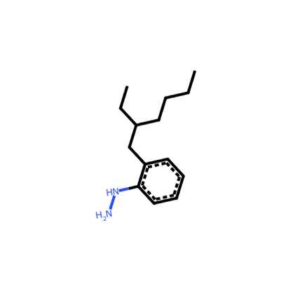 CCCCC(CC)Cc1ccccc1NN